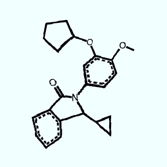 COc1ccc(N2C(=O)c3ccccc3C2C2CC2)cc1OC1CCCC1